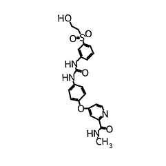 CNC(=O)c1cc(Oc2ccc(NC(=O)Nc3cccc(S(=O)(=O)CCO)c3)cc2)ccn1